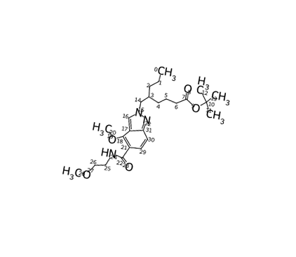 CCCC(CCCC(=O)OC(C)(C)C)Cn1cc2c(OC)c(C(=O)NCCOC)ccc2n1